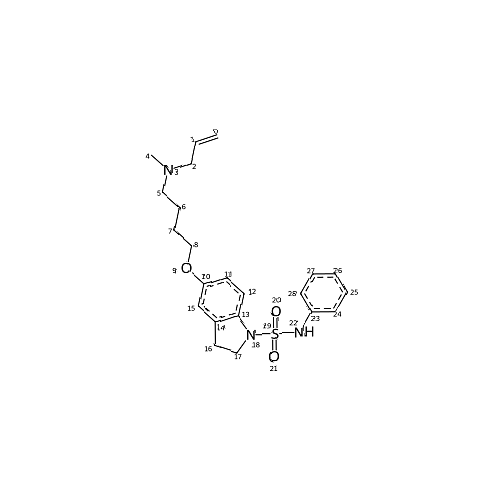 C=CCN(C)CCCCOc1ccc2c(c1)CCN2S(=O)(=O)Nc1ccccc1